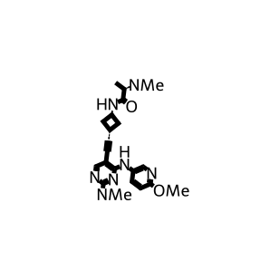 CNc1ncc(C#C[C@H]2C[C@@H](NC(=O)[C@H](C)NC)C2)c(Nc2ccc(OC)nc2)n1